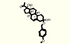 COc1ccc(COC2(O)CC[C@@]3(C)C(=CC[C@@H]4[C@@H]3CC[C@@]3(C)[C@H]4CC[C@]3(O)C(C)=O)C2)cc1